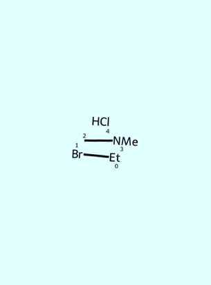 CCBr.CNC.Cl